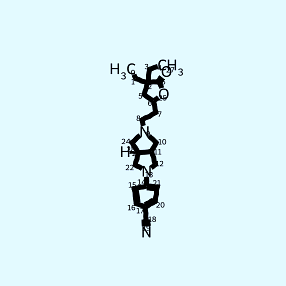 CCC1(CC)CC(CCN2CC3CN(c4ccc(C#N)cc4)C[C@@H]3C2)OC1=O